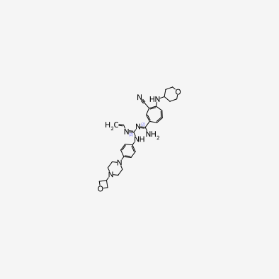 C=C/N=C(\N=C(/N)C1=CC(C#N)=C(NC2CCOCC2)C=C=C1)Nc1ccc(N2CCN(C3COC3)CC2)cc1